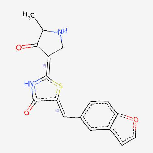 CC1NC/C(=c2/[nH]c(=O)/c(=C/c3ccc4occc4c3)s2)C1=O